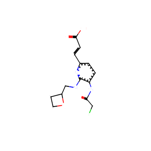 O=C(O)C=Cc1ccc(NC(=O)CCl)c(NCC2CCO2)n1